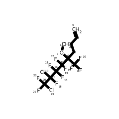 C=CCCC(OC)(C(F)(F)F)C(F)(F)C(F)(F)C(F)(Cl)C(F)(F)Cl